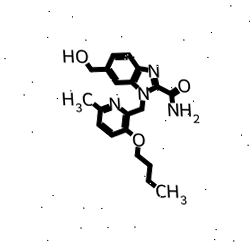 CCCCOc1ccc(C)nc1Cn1c(C(N)=O)nc2ccc(CO)cc21